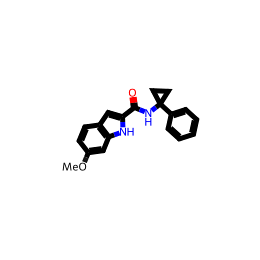 COc1ccc2cc(C(=O)NC3(c4ccccc4)CC3)[nH]c2c1